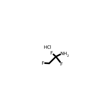 Cl.NC(F)(F)CF